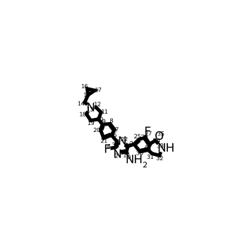 Nc1nc(F)c(-c2ccc(C3CCN(CC4CC4)CC3)cc2)nc1-c1cc(F)c2c(c1)CCNC2=O